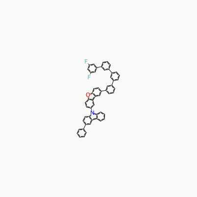 Fc1cc(F)cc(-c2cccc(-c3cccc(-c4cccc(-c5ccc6oc7ccc(-n8c9ccccc9c9cc(-c%10ccccc%10)ccc98)cc7c6c5)c4)c3)c2)c1